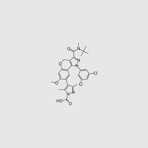 COc1cc2c(cc1-c1c(C)nn(C(=O)O)c1C)-c1c(c(C(=O)N(C)C(C)(C)C)nn1-c1cc(Cl)cc(Cl)c1)CO2